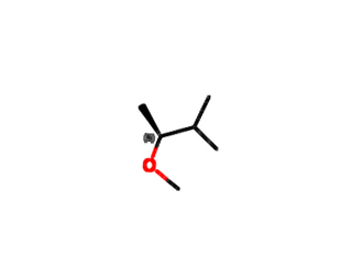 CO[C@@H](C)C(C)C